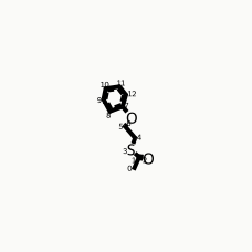 CC(=O)SCCOc1c[c]ccc1